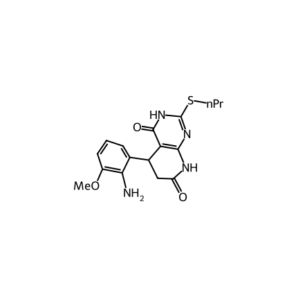 CCCSc1nc2c(c(=O)[nH]1)C(c1cccc(OC)c1N)CC(=O)N2